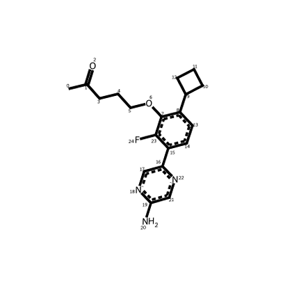 CC(=O)CCCOc1c(C2CCC2)ccc(-c2cnc(N)cn2)c1F